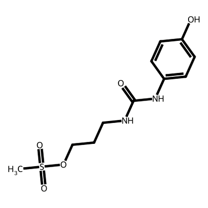 CS(=O)(=O)OCCCNC(=O)Nc1ccc(O)cc1